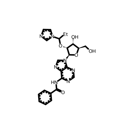 CCC(O[C@@H]1[C@H](O)[C@@H](CO)O[C@H]1n1cnc2c(NC(=O)c3ccccc3)ncnc21)n1ccnc1